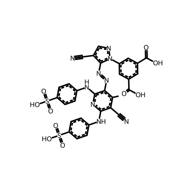 Cc1c(C#N)c(Nc2ccc(S(=O)(=O)O)cc2)nc(Nc2ccc(S(=O)(=O)O)cc2)c1/N=N/c1c(C#N)cnn1-c1cc(C(=O)O)cc(C(=O)O)c1